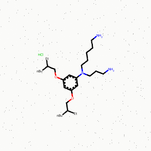 CCCCC(CC)COc1cc(OCC(CC)CCCC)cc(N(CCCN)CCCCCN)c1.Cl